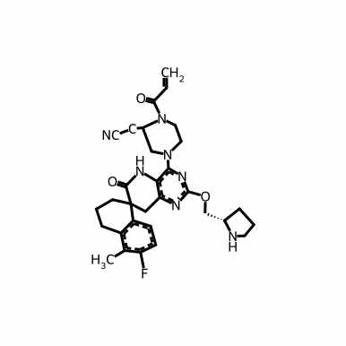 C=CC(=O)N1CCN(c2nc(OC[C@@H]3CCCN3)nc3c2NC(=O)C2(CCCc4c2ccc(F)c4C)C3)CC1CC#N